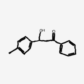 Cc1ccc(C(O)CC(=O)c2ccccc2)cc1